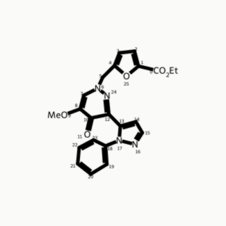 CCOC(=O)c1ccc(Cn2cc(OC)c(=O)c(-c3ccnn3-c3ccccc3)n2)o1